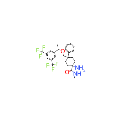 CNC(=O)C1(N)CCC(CO[C@H](C)c2cc(C(F)(F)F)cc(C(F)(F)F)c2)(c2ccccc2)CC1